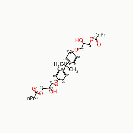 CCCC(=O)OCC(O)COc1ccc(C(C)(C)c2ccc(OCC(O)COC(=O)CCC)cc2)cc1